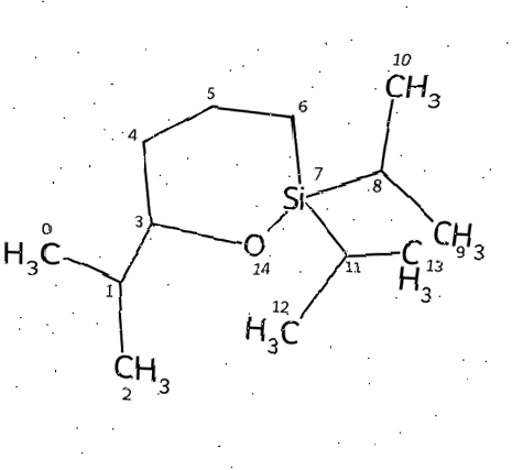 CC(C)C1CCC[Si](C(C)C)(C(C)C)O1